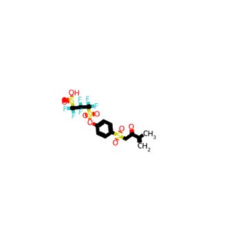 C=C(C)C(=O)CS(=O)(=O)c1ccc(OS(=O)(=O)C(F)(F)C(F)(F)C(F)(F)S(=O)(=O)O)cc1